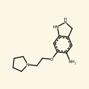 Nc1cc2c(cc1OCCN1CCCC1)NNC2